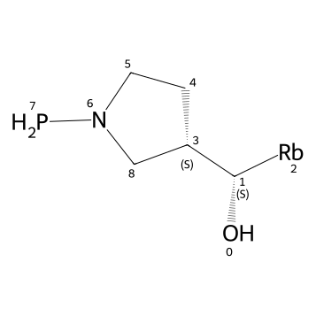 O[C@@H]([Rb])[C@H]1CCN(P)C1